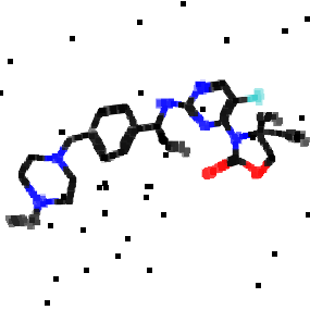 C[C@H](Nc1ncc(F)c(N2C(=O)OCC2(C)C)n1)c1ccc(CN2CCN(C(=O)O)CC2)cc1